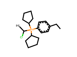 CCc1ccc([PH]([CH](Cl)[Pd])(C2CCCC2)C2CCCC2)cc1